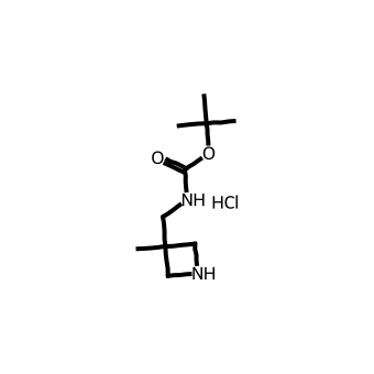 CC1(CNC(=O)OC(C)(C)C)CNC1.Cl